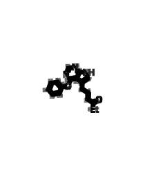 CCC(=O)C=CCc1c[nH]c2ncnc(Oc3ccccc3)c12